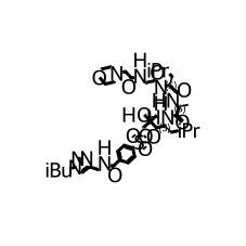 CCC(C)n1cc(CNC(=O)c2ccc(S(=O)(=O)OCC(C)(O)C(=O)[C@H](CC(C)C)NC(=O)[C@H](C)NC(=O)[C@H](CC(C)C)NC(=O)CNC(=O)CN3CCOCC3)cc2)nn1